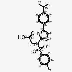 Cc1ccc(S(=O)(=O)N(CC(=O)O)c2nc(-c3ccc(C(C)C)cc3)cs2)cc1